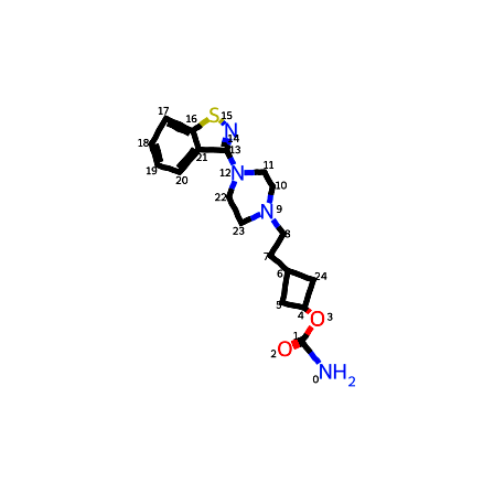 NC(=O)OC1CC(CCN2CCN(c3nsc4ccccc34)CC2)C1